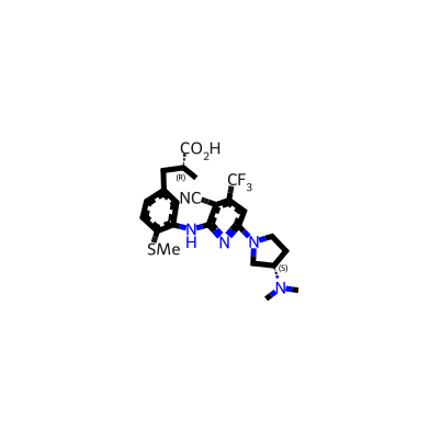 CSc1ccc(C[C@@H](C)C(=O)O)cc1Nc1nc(N2CC[C@H](N(C)C)C2)cc(C(F)(F)F)c1C#N